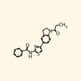 CCC(=O)N1CCc2cc(-c3csc(NC(=O)c4ccccc4)n3)ccc21